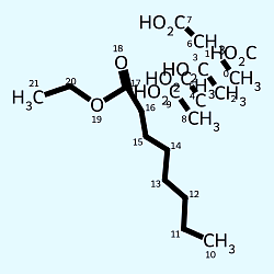 CC(=O)O.CC(=O)O.CC(=O)O.CC(=O)O.CC(=O)O.CCCCCCCC(=O)OCC